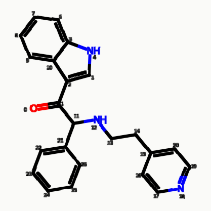 O=C(c1c[nH]c2ccccc12)C(NCCc1ccncc1)c1ccccc1